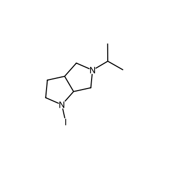 CC(C)N1CC2CCN(I)C2C1